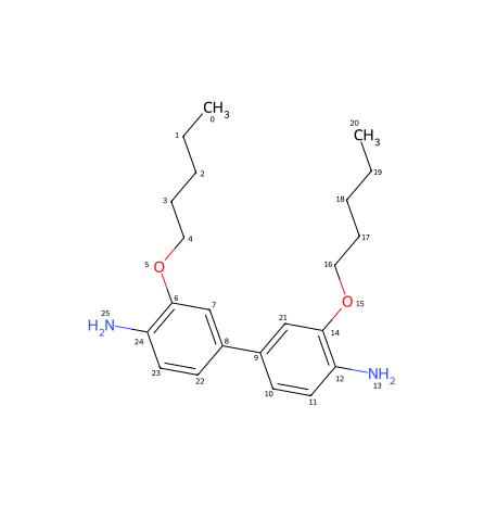 CCCCCOc1cc(-c2ccc(N)c(OCCCCC)c2)ccc1N